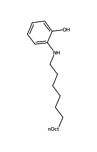 CCCCCCCCCCCCCCNc1ccccc1O